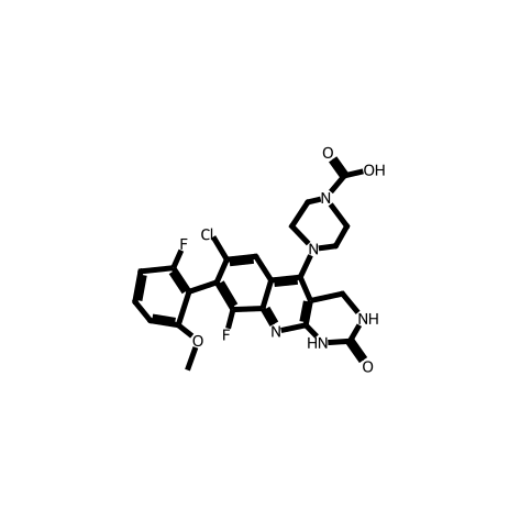 COc1cccc(F)c1-c1c(Cl)cc2c(N3CCN(C(=O)O)CC3)c3c(nc2c1F)NC(=O)NC3